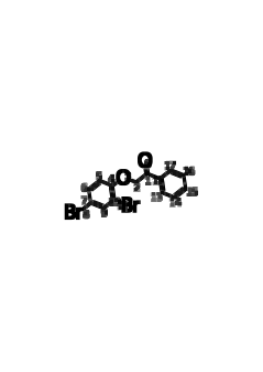 O=C(COc1ccc(Br)cc1Br)c1ccccc1